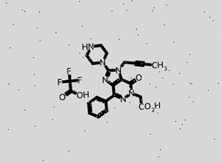 CC#CCn1c(N2CCNCC2)nc2c(-c3ccccc3)nn(CC(=O)O)c(=O)c21.O=C(O)C(F)(F)F